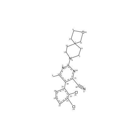 Cc1nc(N2CCC3(CCOC3)CC2)nc(C#N)c1-c1cccc(Cl)c1Cl